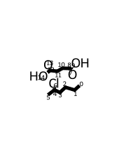 CCCCC(C)Cl.O=C(O)CCC(=O)O